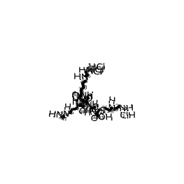 Cl.Cl.Cl.Cl.N=CCNCCCCC(NP(=O)(CNCC(=O)NC(CSCCNCC=N)C(=O)O)NC(CCCCNCC=N)C(=O)O)C(=O)O